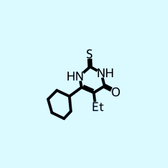 CCc1c(C2CCCCC2)[nH]c(=S)[nH]c1=O